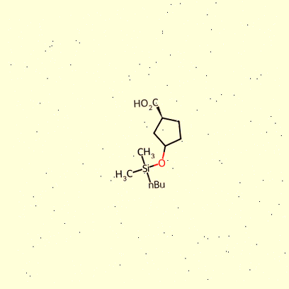 CCCC[Si](C)(C)OC1CC[C@H](C(=O)O)C1